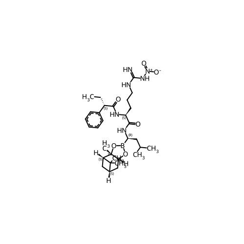 CC[C@H](C(=O)N[C@@H](CCCNC(=N)N[N+](=O)[O-])C(=O)N[C@@H](CC(C)C)B1O[C@@H]2C[C@@H]3C[C@@H](C3(C)C)[C@]2(C)O1)c1ccccc1